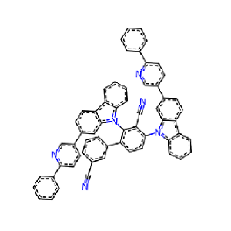 N#Cc1cccc(-c2ccc(-n3c4ccccc4c4ccc(-c5ccc(-c6ccccc6)nc5)cc43)c(C#N)c2-n2c3ccccc3c3ccc(-c4ccc(-c5ccccc5)nc4)cc32)c1